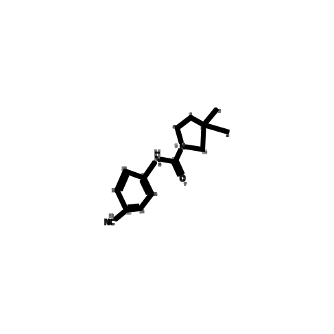 CC1(C)CCN(C(=O)Nc2ccc(C#N)cc2)C1